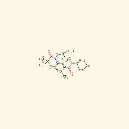 CC(C)N(C(=O)c1cc2c(cc1C(F)(F)F)OC(C)(C)C(=O)N2C[C@H](C)C(=O)O)C1CCCCC1